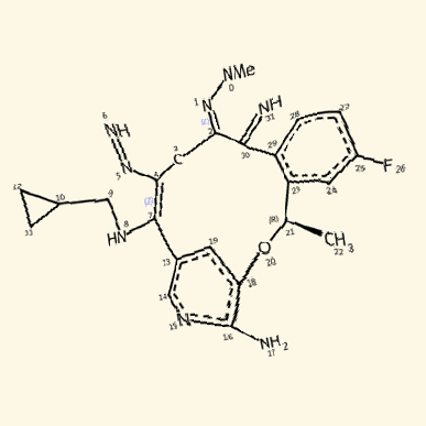 CN/N=C1/C/C(N=N)=C(/NCC2CC2)c2cnc(N)c(c2)O[C@H](C)c2cc(F)ccc2C1=N